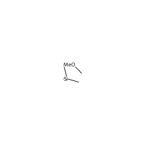 COC.C[Si]C